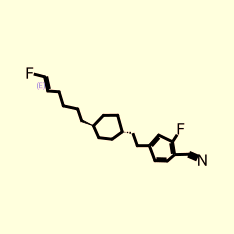 N#Cc1ccc(CC[C@H]2CC[C@H](CCCC/C=C/F)CC2)cc1F